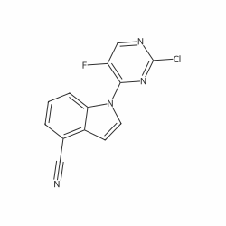 N#Cc1cccc2c1ccn2-c1nc(Cl)ncc1F